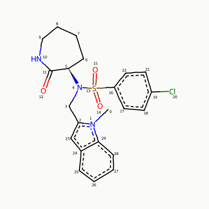 Cn1c(CN([C@@H]2CCCCNC2=O)S(=O)(=O)c2ccc(Cl)cc2)cc2ccccc21